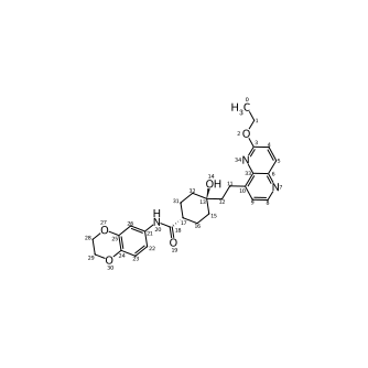 CCOc1ccc2nccc(CC[C@]3(O)CC[C@H](C(=O)Nc4ccc5c(c4)OCCO5)CC3)c2n1